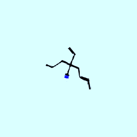 C=CC(C#N)(CC=CC)CCC